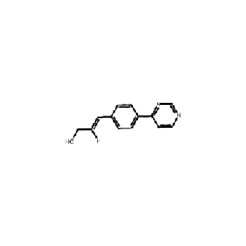 OC/C(F)=C/c1ccc(-c2ccncn2)cc1